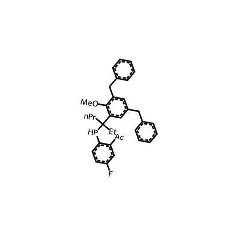 CCCC(CC)(Pc1ccc(F)cc1C(C)=O)c1cc(Cc2ccccc2)cc(Cc2ccccc2)c1OC